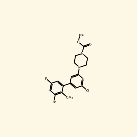 COc1c(Br)cc(F)cc1-c1cc(Cl)nc(N2CCN(C(=O)OC(C)(C)C)CC2)c1